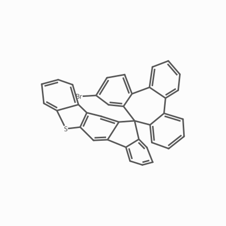 Brc1ccc2c(c1)C1(c3ccccc3-c3ccccc3-2)c2ccccc2-c2cc3sc4ccccc4c3cc21